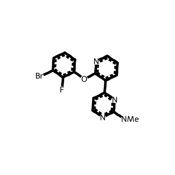 CNc1nccc(-c2cccnc2Oc2cccc(Br)c2F)n1